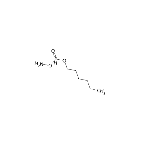 CCCCCCO[PH](=O)ON